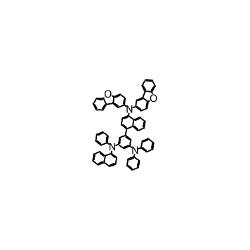 c1ccc(N(c2ccccc2)c2cc(-c3ccc(N(c4ccc5oc6ccccc6c5c4)c4ccc5oc6ccccc6c5c4)c4ccccc34)cc(N(c3ccccc3)c3cccc4ccccc34)c2)cc1